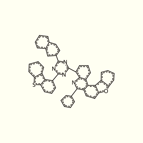 c1ccc(-c2nc3c(-c4nc(-c5ccc6ccccc6c5)nc(-c5cccc6sc7ccccc7c56)n4)cccc3c3c2ccc2oc4ccccc4c23)cc1